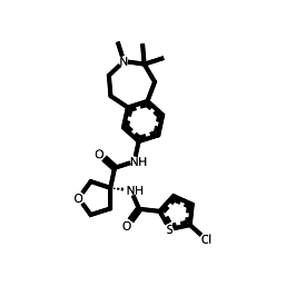 CN1CCc2cc(NC(=O)[C@@]3(NC(=O)c4ccc(Cl)s4)CCOC3)ccc2CC1(C)C